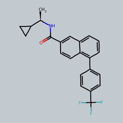 C[C@@H](NC(=O)c1ccc2c(-c3ccc(C(F)(F)F)cc3)cccc2c1)C1CC1